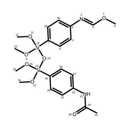 COC=Nc1ccc([Si](OC)(OC)O[Si](OC)(OC)c2ccc(NC(C)=O)cc2)cc1